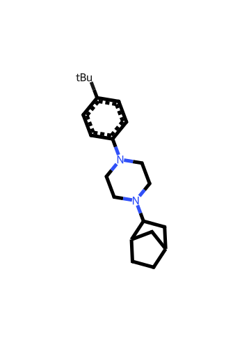 CC(C)(C)c1ccc(N2CCN(C3CC4CCC3C4)CC2)cc1